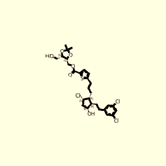 CC1(C)O[C@@H](CO)[C@H](COC(=O)c2ccc(CCC[C@@H]3[C@@H](CCc4cc(Cl)cc(Cl)c4)[C@H](O)C[C@@H]3Cl)s2)O1